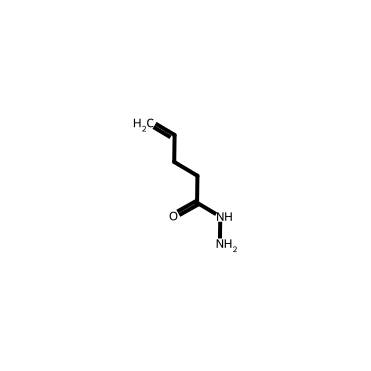 C=CCCC(=O)NN